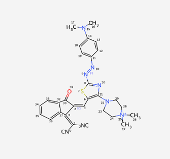 [C-]#[N+]C([N+]#[C-])=C1/C(=C/c2sc(/N=N/c3ccc(N(C)C)cc3)nc2N2CC[N+](C)(C)CC2)C(=O)c2ccccc21